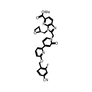 COC(=O)c1ccc2nc(Cn3ccc(-c4cccc(OCc5ccc(C#N)cc5F)n4)cc3=O)n(C[C@@H]3CCO3)c2n1